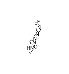 CC(C(F)F)N1CCC(N2CCCN(c3cccc(C(=O)NCC4CC4)n3)CC2)CC1